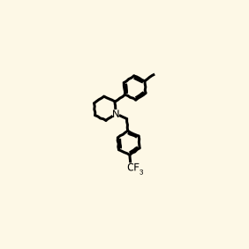 Cc1ccc(C2CCCCN2Cc2ccc(C(F)(F)F)cc2)cc1